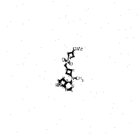 COC1CN(S(=O)(=O)CC2CC(N(C)c3ncnc4[nH]ccc34)C2)C1